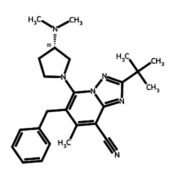 Cc1c(Cc2ccccc2)c(N2CC[C@H](N(C)C)C2)n2nc(C(C)(C)C)nc2c1C#N